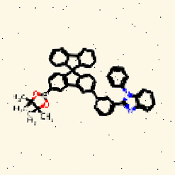 CC1(C)OB(c2ccc3c(c2)-c2cc(-c4cccc(-c5nc6ccccc6n5-c5ccccc5)c4)ccc2C32c3ccccc3-c3ccccc32)OC1(C)C